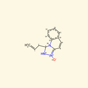 C=CCC1N[N+]([O-])=C2C=Cc3ccccc3N21